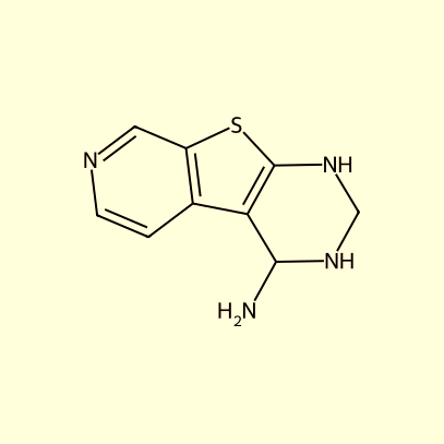 NC1NCNc2sc3cnccc3c21